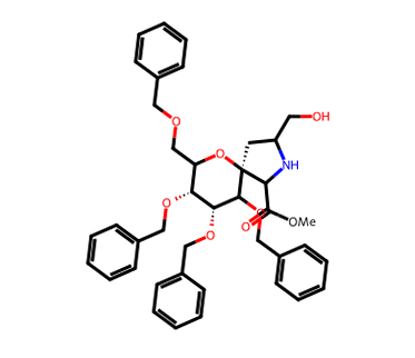 COC(=O)C1NC(CO)C[C@]12OC(COCc1ccccc1)[C@@H](OCc1ccccc1)[C@@H](OCc1ccccc1)C2OCc1ccccc1